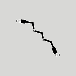 C#CCSCSCC#C